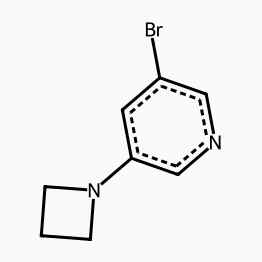 Brc1cncc(N2CCC2)c1